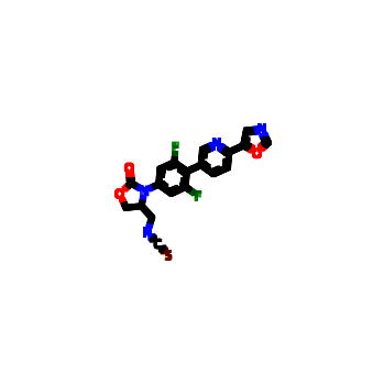 O=C1OCC(CN=C=S)N1c1cc(F)c(-c2ccc(-c3cnco3)nc2)c(F)c1